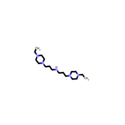 CCN1CCN(CCCNCCCN2CCN(CC)CC2)CC1